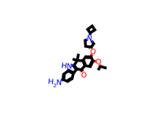 CC(C)Oc1cc2c(cc1O[C@@H]1CCN(C3CCC3)C1)C(C)(C)c1[nH]c3cc(N)ccc3c1C2=O